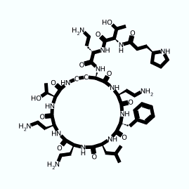 CC(C)C[C@@H]1NC(=O)[C@@H](Cc2ccccc2)NC(=O)[C@H](CCN)NC(=O)[C@@H](NC(=O)[C@H](CCN)NC(=O)[C@@H](NC(=O)CC[C@@H]2CCCN2)C(C)O)CCNC(=O)[C@H](C(C)O)NC(=O)[C@H](CCN)NC(=O)[C@H](CCN)NC1=O